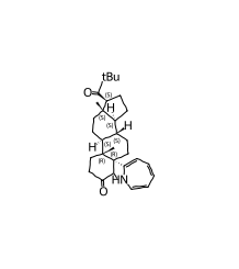 CC1C(=O)CC[C@]2(C)[C@H]3CC[C@]4(C)[C@@H](C(=O)C(C)(C)C)CC[C@H]4[C@@H]3CC[C@@]12C1=CC=CC=CN1